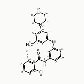 Cc1cc(Nc2cc(NC(=O)c3c(F)cccc3Cl)ccn2)nc(N2CCOCC2)n1